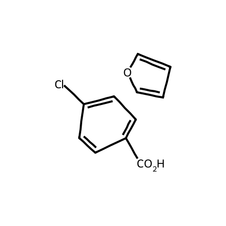 O=C(O)c1ccc(Cl)cc1.c1ccoc1